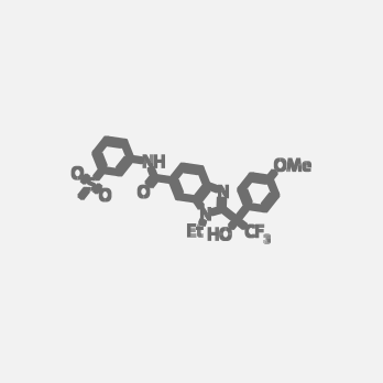 CCn1c(C(O)(c2ccc(OC)cc2)C(F)(F)F)nc2ccc(C(=O)Nc3cccc(S(C)(=O)=O)c3)cc21